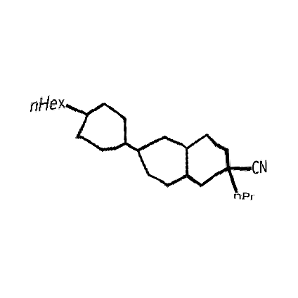 CCCCCCC1CCC(C2CCC3CC(C#N)(CCC)CCC3C2)CC1